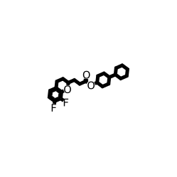 O=C(CCC1CCc2ccc(F)c(F)c2O1)OC1CCC(C2CCCCC2)CC1